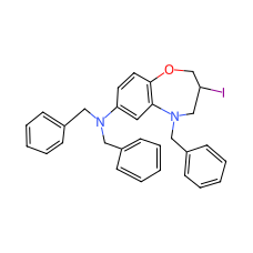 IC1COc2ccc(N(Cc3ccccc3)Cc3ccccc3)cc2N(Cc2ccccc2)C1